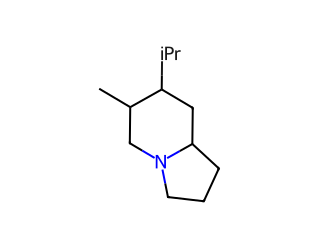 CC(C)C1CC2CCCN2CC1C